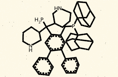 PC(c1cc(-c2ccccc2)c(-c2ccccc2)cc1CP(C12CC3CC(CC(C3)C1)C2)C12CC3CC(CC(C3)C1)C2)(C1CCCNC1)C1CCCNC1